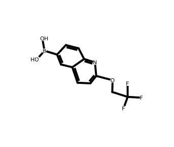 OB(O)c1ccc2nc(OCC(F)(F)F)ccc2c1